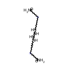 NC(=O)CCCCCCC/C=C\CCCCCCCCCCNCCNCCNCCNCCCCCCCCCC/C=C\CCCCCCCC(N)=O